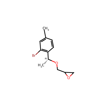 Cc1ccc([C@@H](C)OCC2CO2)c(Br)c1